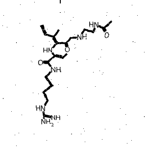 C=C/C(C)=C(\N/C(=C\C)C(=O)NCCCCNC(=N)N)C(=O)CNCCNC(C)=O